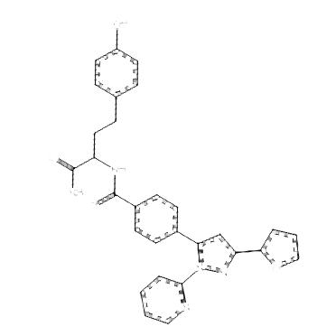 NC(=O)C(CCc1ccc(O)cc1)NC(=O)c1ccc(-c2cc(-c3ccco3)nn2-c2ccccn2)cc1